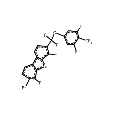 CCc1ccc2c(sc3c(F)c(C(F)(F)Oc4cc(F)c(C(F)(F)F)c(F)c4)ccc32)c1F